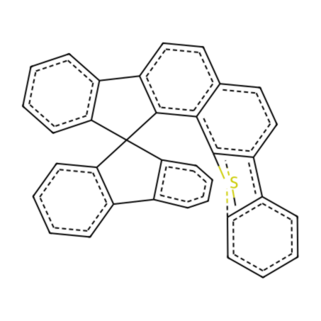 c1ccc2c(c1)-c1ccccc1C21c2ccccc2-c2ccc3ccc4c5ccccc5sc4c3c21